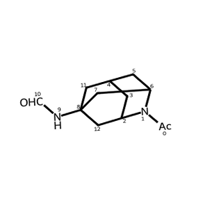 CC(=O)N1C2CC3CC1CC(NC=O)(C3)C2